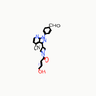 N#Cc1ccnc2c1c(C1CN(C(=O)/C=C/CO)C1)nn2-c1ccc(C=O)cc1